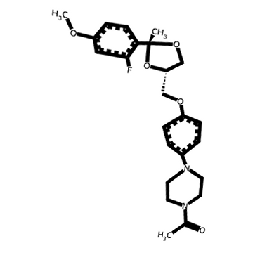 COc1ccc([C@]2(C)OC[C@H](COc3ccc(N4CCN(C(C)=O)CC4)cc3)O2)c(F)c1